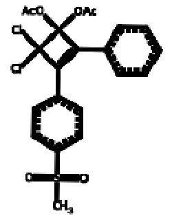 CC(=O)OC1(OC(C)=O)C(c2ccccc2)=C(c2ccc(S(C)(=O)=O)cc2)C1(Cl)Cl